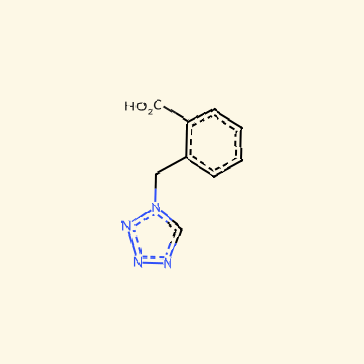 O=C(O)c1ccccc1Cn1cnnn1